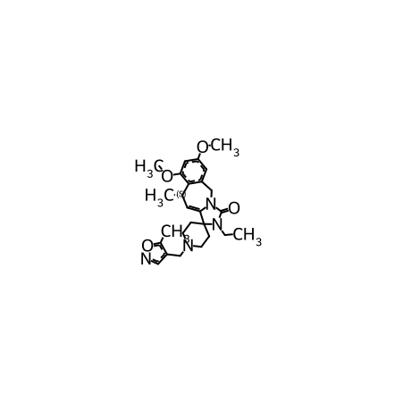 CCN1C(=O)N2Cc3cc(OC)cc(OC)c3[C@@H](C)C=C2C12CCN(Cc1cnoc1C)CC2